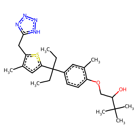 CCC(CC)(c1ccc(OCC(O)C(C)(C)C)c(C)c1)c1cc(C)c(Cc2nnn[nH]2)s1